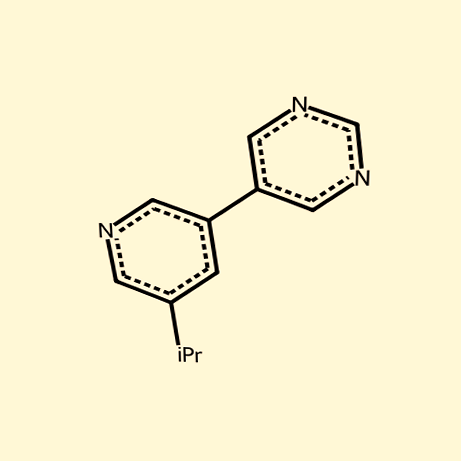 CC(C)c1cncc(-c2cncnc2)c1